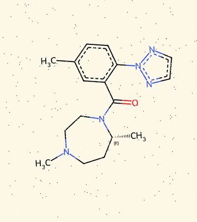 Cc1ccc(-n2nccn2)c(C(=O)N2CCN(C)CC[C@H]2C)c1